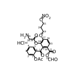 CC(=O)Oc1ccccc1C(=O)c1c(C(=O)OC=O)ccc(OCCCO[N+](=O)[O-])c1OC(=O)CN.Cl